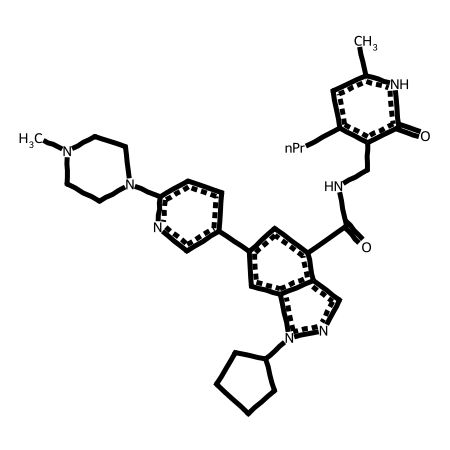 CCCc1cc(C)[nH]c(=O)c1CNC(=O)c1cc(-c2ccc(N3CCN(C)CC3)nc2)cc2c1cnn2C1CCCC1